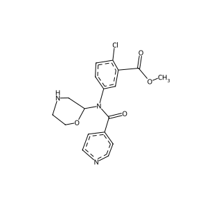 COC(=O)c1cc(N(C(=O)c2ccncc2)C2CNCCO2)ccc1Cl